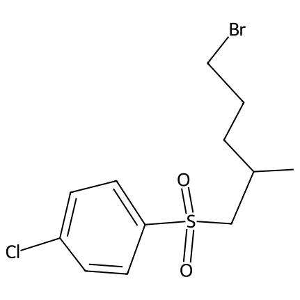 CC(CCCBr)CS(=O)(=O)c1ccc(Cl)cc1